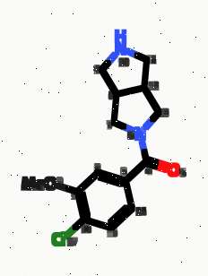 COc1cc(C(=O)N2CC3CNCC3C2)ccc1Cl